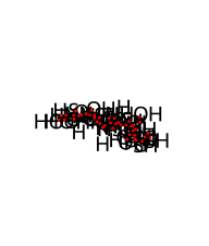 CC(=O)N[C@@H](CS)C(=O)NC(CS)C(=O)N[C@@H](CCC(=O)O)C(=O)NC(Cc1ccc(O)cc1)C(=O)N[C@@H](CS)C(=O)NC(CS)C(=O)NC(CC(N)=O)C(=O)N1CCC[C@H]1C(=O)N[C@@H](C)C(=O)N[C@@H](CS)C(=O)N[C@H](C(=O)NCC(=O)N[C@@H](CS)C(=O)N[C@@H](Cc1ccc(O)cc1)C(=O)O)[C@@H](C)O